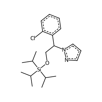 CC(C)[Si](OCC(c1ccccc1Cl)n1cccn1)(C(C)C)C(C)C